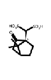 CC1(C)C2CC[C@@]1(C(S(=O)(=O)O)S(=O)(=O)O)C(=O)C2